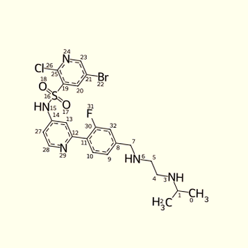 CC(C)NCCNCc1ccc(-c2cc(NS(=O)(=O)c3cc(Br)cnc3Cl)ccn2)c(F)c1